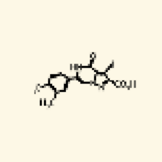 Cc1ccc(-c2cn3nc(C(=O)O)c(I)c3c(=O)[nH]2)cc1C